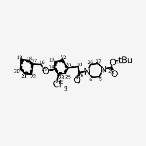 CC(C)(C)OC(=O)N1CCN(C(=O)Cc2ccc(OCc3ccccc3)c(C(F)(F)F)c2)CC1